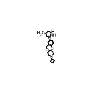 CC1CC(=O)NN(c2ccc3c(c2)COC2(CCN(C4CCC4)CC2)O3)C1